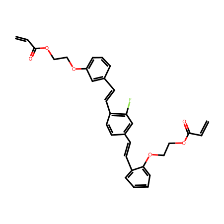 C=CC(=O)OCCOc1cccc(/C=C/c2ccc(/C=C/c3ccccc3OCCOC(=O)C=C)cc2F)c1